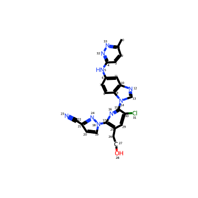 Cc1ccc(Nc2ccc3c(c2)ncn3-c2nc(-n3ccc(C#N)n3)c(CCO)cc2Cl)nn1